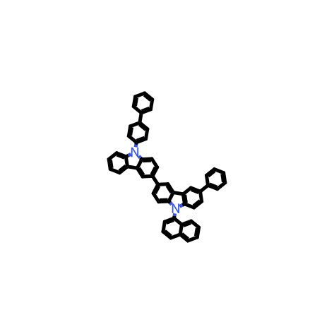 c1ccc(-c2ccc(-n3c4ccccc4c4cc(-c5ccc6c(c5)c5cc(-c7ccccc7)ccc5n6-c5cccc6ccccc56)ccc43)cc2)cc1